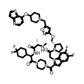 CN[C@@H](C)C(=O)NC(C(=O)N1CCN(C(=O)c2cc3cc(F)c(F)cc3n2CC(=O)N2CCC[C@H]2COc2cc(CN3CCC(Oc4ccnc5ccsc45)CC3)on2)CC1)C1CCC(F)(F)CC1